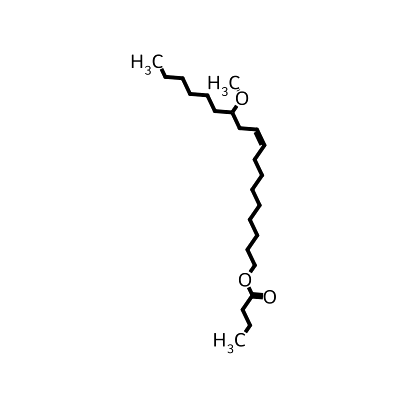 CCCCCCC(C/C=C\CCCCCCCCOC(=O)CCC)OC